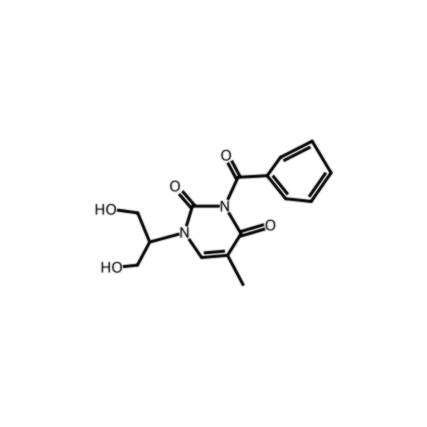 Cc1cn(C(CO)CO)c(=O)n(C(=O)c2ccccc2)c1=O